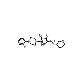 O=c1c(Cl)c(NC[C@@H]2CCCOC2)cnn1C1CCN(c2ccccc2F)CC1